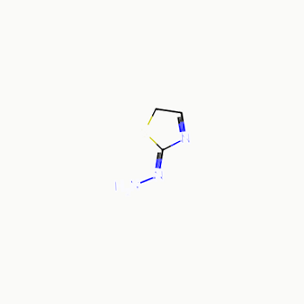 NN=C1N=CCS1